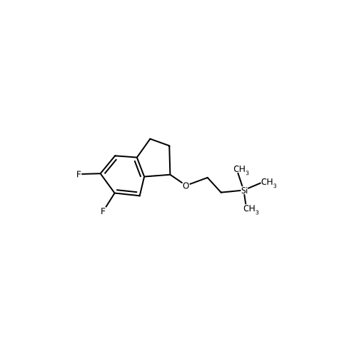 C[Si](C)(C)CCOC1CCc2cc(F)c(F)cc21